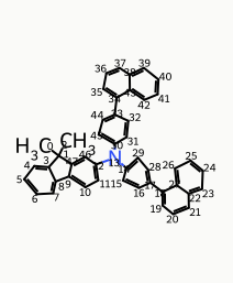 CC1(C)c2ccccc2-c2ccc(N(c3ccc(-c4cccc5ccccc45)cc3)c3ccc(-c4cccc5ccccc45)cc3)cc21